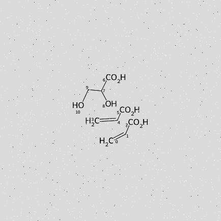 C=CC(=O)O.C=CC(=O)O.O=C(O)C(O)CO